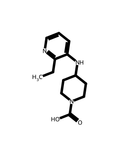 CCc1ncccc1NC1CCN(C(=O)O)CC1